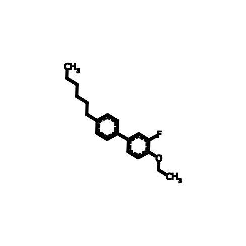 CCCCCCc1ccc(-c2ccc(OCC)c(F)c2)cc1